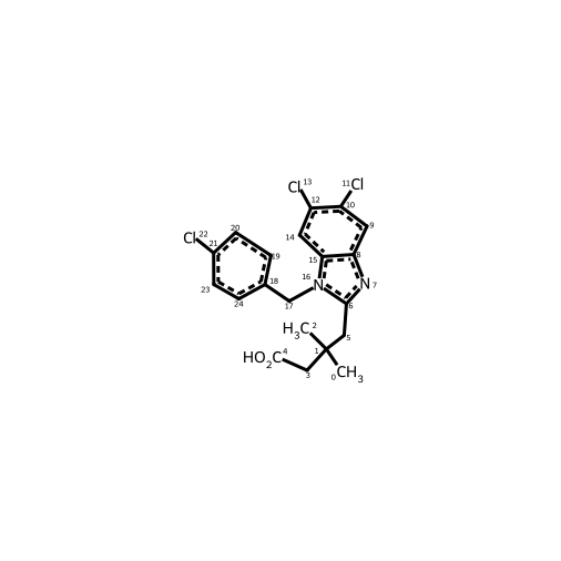 CC(C)(CC(=O)O)Cc1nc2cc(Cl)c(Cl)cc2n1Cc1ccc(Cl)cc1